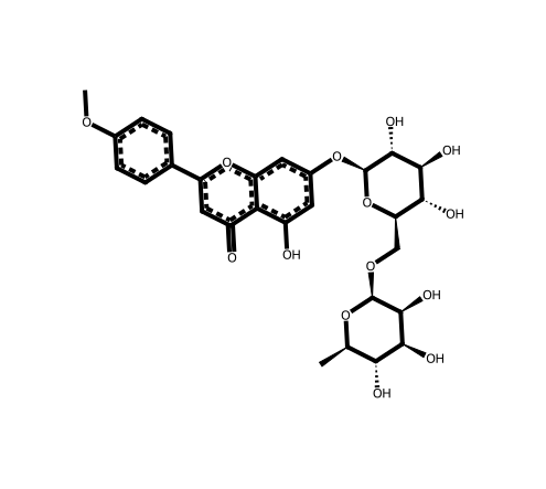 COc1ccc(-c2cc(=O)c3c(O)cc(O[C@@H]4O[C@H](CO[C@@H]5O[C@H](C)[C@@H](O)[C@H](O)[C@@H]5O)[C@@H](O)[C@H](O)[C@H]4O)cc3o2)cc1